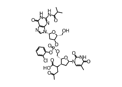 CC(=O)CC(C(=O)O)[C@@H]1C[C@H](n2cc(C)c(=O)[nH]c2=O)O[C@H]1COP(=O)(Oc1ccccc1Cl)O[C@H]1C[C@H](n2cnc3c(=O)[nH]c(NC(=O)C(C)C)nc32)O[C@@H]1CO